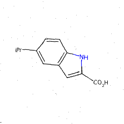 CC(C)c1ccc2[nH]c(C(=O)O)cc2c1